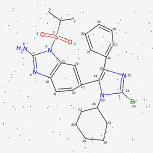 CC(C)S(=O)(=O)n1c(N)nc2ccc(-c3c(-c4ccccc4)nc(Br)n3C3CCCCC3)cc21